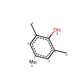 Cc1cccc(C)c1O.[Mn]